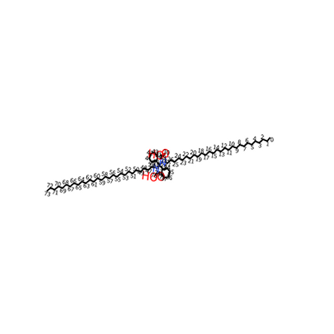 CCCCCCCCCCCCCCCCCCCCCCCCCCCCN(C(=O)O)C(c1ccccc1)(c1ccccc1)N(CCCCCCCCCCCCCCCCCCCCCCCCCCCC)C(=O)O